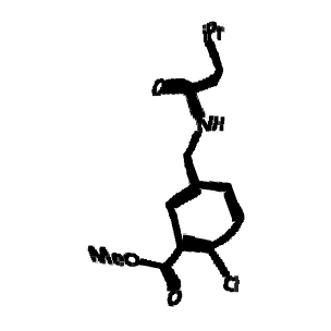 COC(=O)c1cc(CNC(=O)CC(C)C)ccc1Cl